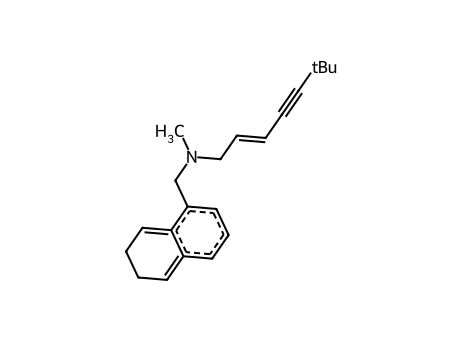 CN(C/C=C/C#CC(C)(C)C)Cc1cccc2c1=CCCC=2